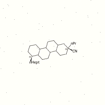 CCCCCCC[C@H]1CCCC2C3CCC4C[C@](C#N)(CCC)CCC4C3CCC21